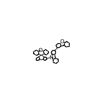 c1ccc2c(c1)Oc1ccccc1C21c2ccccc2-c2ccc(-n3c4ccccc4c4cc(-c5ccc6oc7ccccc7c6c5)ccc43)cc21